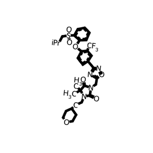 CC(C)CS(=O)(=O)c1ccccc1Oc1ccc(-c2noc(CN3C(=O)N(CCC4CCOCC4)C(C)(C)C3=O)n2)cc1C(F)(F)F